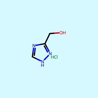 Cl.OCc1nc[nH]n1